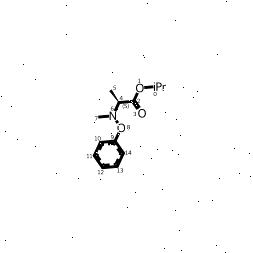 CC(C)OC(=O)[C@H](C)N(C)Oc1ccccc1